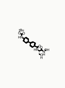 CC(C)(C)OC(=O)Nc1ccc(-c2ccc(C(=O)N[C@@H](CO)C(=O)NO)cc2)cc1